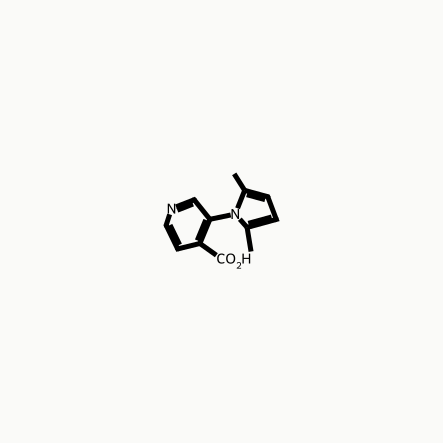 Cc1ccc(C)n1-c1cnccc1C(=O)O